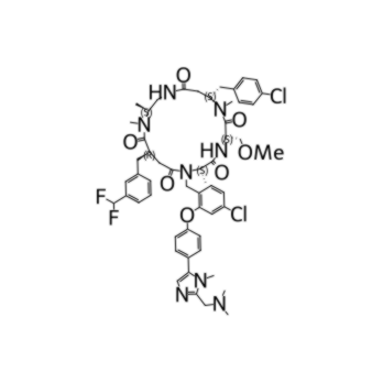 COC[C@@H]1NC(=O)[C@H](C)N(Cc2ccc(Cl)cc2Oc2ccc(-c3cnc(CN(C)C)n3C)cc2)C(=O)C[C@@H](Cc2cccc(C(F)F)c2)C(=O)N(C)[C@@H](C)CNC(=O)C[C@H](Cc2ccc(Cl)cc2)N(C)C1=O